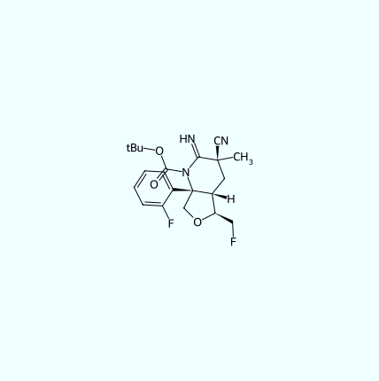 CC(C)(C)OC(=O)N1C(=N)[C@@](C)(C#N)C[C@@H]2[C@@H](CF)OC[C@@]21c1ccccc1F